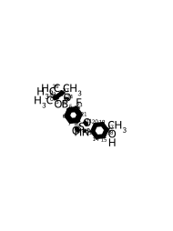 CC1(C)OB(c2ccc(S(=O)(=O)N[C@H]3CC[C@@](C)(O)CC3)cc2F)OC1(C)C